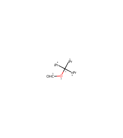 CCCC(OC=O)(C(C)C)C(C)C